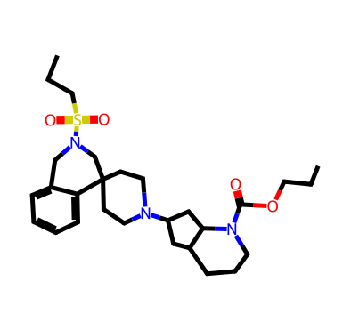 CCCOC(=O)N1CCCC2CC(N3CCC4(CC3)CN(S(=O)(=O)CCC)Cc3ccccc34)CC21